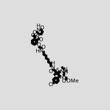 COC(=O)C[C@@H]1N=C(c2ccc(Cl)cc2)c2c(sc(C(=O)NCCCCCCCCNC(=O)COc3cccc4c3C(=O)N(C3CCC(=O)NC3=O)C4=O)c2C)-n2c(C)nnc21